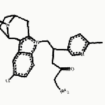 Cc1ccc(C(CC(=O)CN)Cn2c3c(c4cc(Cl)ccc42)C2CCC(C3)N2C)cn1